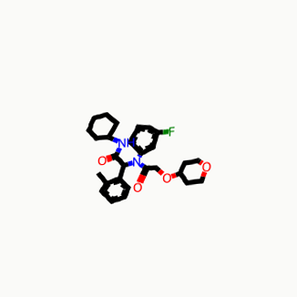 Cc1ccccc1C(C(=O)NC1CCCCC1)N(C(=O)COC1CCOCC1)c1cccc(F)c1